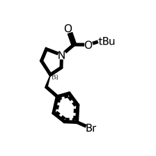 CC(C)(C)OC(=O)N1CC[C@H](Cc2ccc(Br)cc2)C1